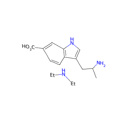 CC(N)Cc1c[nH]c2cc(C(=O)O)ccc12.CCNCC